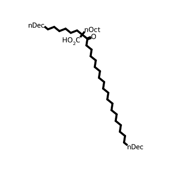 CCCCCCCCCCCCCCCCCCCCCCCCCCCCCC(=O)C(CCCCCCCC)(CCCCCCCCCCCCCCCC)C(=O)O